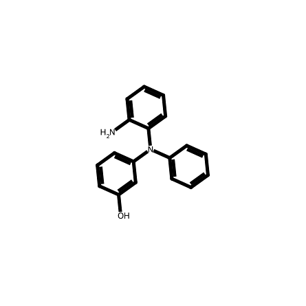 Nc1ccccc1N(c1ccccc1)c1cccc(O)c1